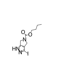 CCCCOC(=O)N1Cc2[nH]nc(I)c2C1